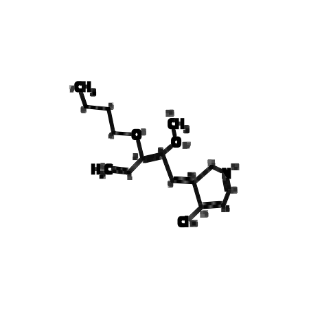 C=C/C(OCCCC)=C(\C=C1/CN=CC=C1Cl)OC